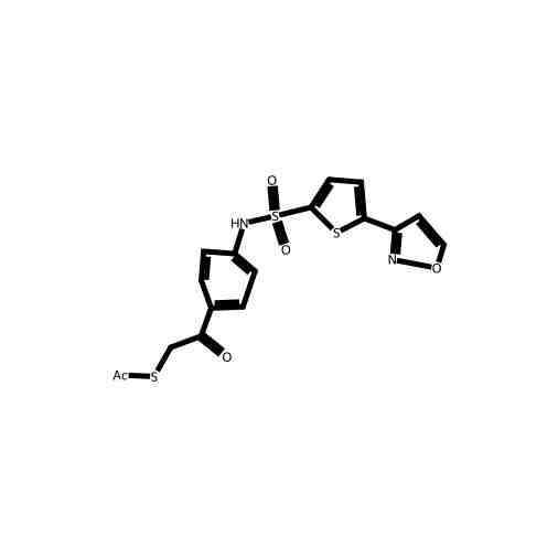 CC(=O)SCC(=O)c1ccc(NS(=O)(=O)c2ccc(-c3ccon3)s2)cc1